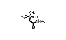 CCC(C[N+](C)(C)C)NC(C)=O